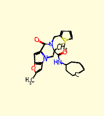 Cc1cc2c(cc3n2CC(C)(C(=O)NC2CCCCCC2)N(Cc2cccs2)C3=O)o1